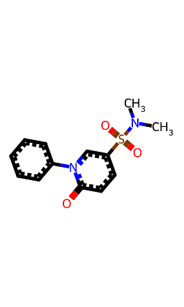 CN(C)S(=O)(=O)c1ccc(=O)n(-c2ccccc2)c1